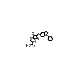 O=C(O)c1cnc2c(n1)C(=O)/C(=C\c1ccc3c(c1)CCN3c1ccccc1)C2=O